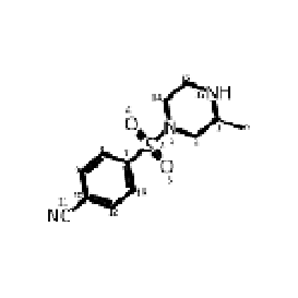 C[C@H]1CN(S(=O)(=O)c2ccc(C#N)cc2)CCN1